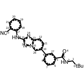 CC(C)(C)CNC(=O)c1cccc(-c2ccc3nc(Nc4ccccc4C#N)nn3c2)c1